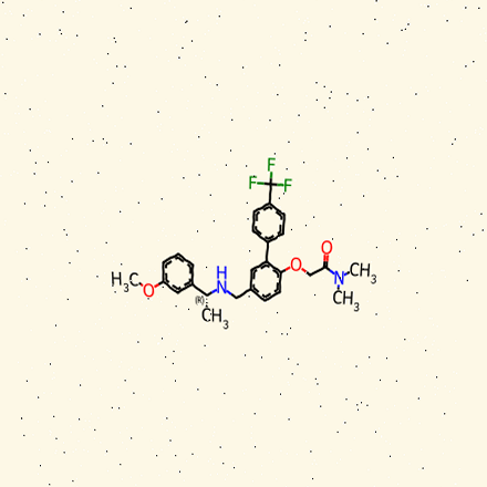 COc1cccc([C@@H](C)NCc2ccc(OCC(=O)N(C)C)c(-c3ccc(C(F)(F)F)cc3)c2)c1